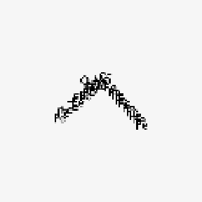 O=[N+]([O-])[O-].O=[N+]([O-])[O-].[Fe].[Fe].[Fe].[Fe].[Fe].[Fe].[Fe].[Fe].[Fe].[Fe].[Fe].[Fe].[Fe].[Fe].[Fe].[Fe].[Fe].[Fe].[Fe].[Fe]